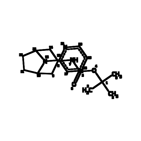 CC(C)(C)OC(=O)NC1CC2CCC(C1)N2c1cnccn1